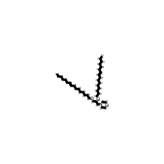 CCCCCCC=CCCCCCCCCOCC(CN1CCOCC1)OCCCCCCCCC=CCCCCCC